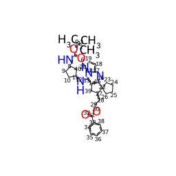 CC(C)(C)OC(=O)N[C@H]1CC[C@H](Nc2c3c(nc4ccnn24)C2(CCCC2)C(=CCOC(=O)c2ccccc2)C3)C1